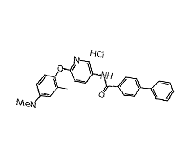 CNc1ccc(Oc2ccc(NC(=O)c3ccc(-c4ccccc4)cc3)cn2)c(C)c1.Cl